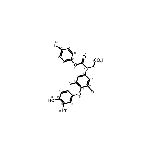 Cc1cc(N(CC(=O)O)C(=O)Oc2ccc(O)cc2)cc(C)c1Oc1ccc(O)c(C(C)C)c1